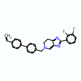 C=Cc1ccc(-c2ccc(CN3C=C4N=C(c5cccc(F)c5F)N=C4CC3)cc2)cc1